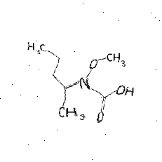 CCCC(C)N(OC)C(=O)O